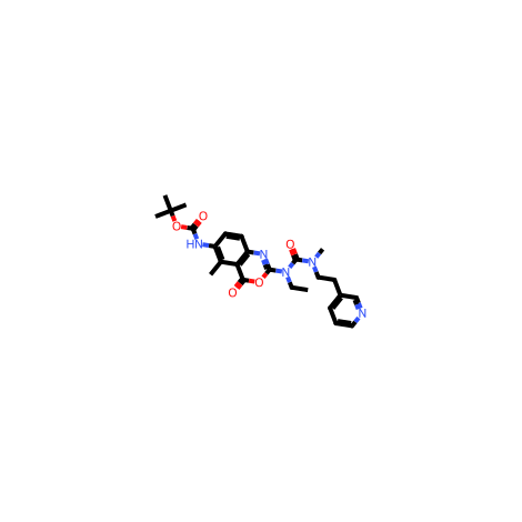 CCN(C(=O)N(C)CCc1cccnc1)c1nc2ccc(NC(=O)OC(C)(C)C)c(C)c2c(=O)o1